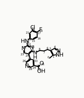 Cc1[nH]ncc1CCCNc1nc(Nc2ccc(F)c(Cl)c2)ncc1-c1cncc(C(=O)O)c1